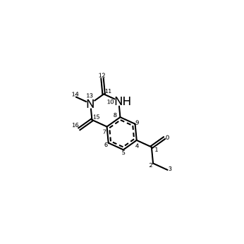 C=C(CC)c1ccc2c(c1)NC(=C)N(C)C2=C